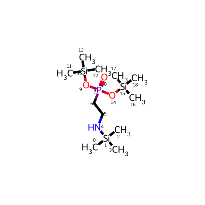 C[Si](C)(C)NCCP(=O)(O[Si](C)(C)C)O[Si](C)(C)C